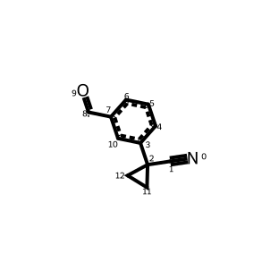 N#CC1(c2cccc([C]=O)c2)CC1